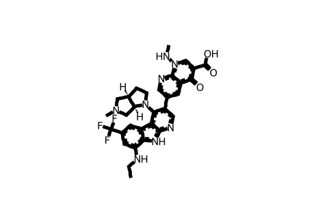 CCNc1cc(C(F)(F)F)cc2c1[nH]c1ncc(-c3cnc4c(c3)c(=O)c(C(=O)O)cn4NC)c(N3CC[C@@H]4CN(C)C[C@@H]43)c12